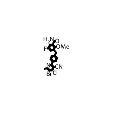 COc1c(Cc2ccc(-c3nc(C)c(Br)c(Cl)c3C#N)cc2)cc(F)cc1C(N)=O